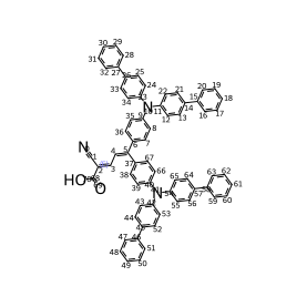 N#C/C(=C\C=C(c1ccc(N(c2ccc(-c3ccccc3)cc2)c2ccc(-c3ccccc3)cc2)cc1)c1ccc(N(c2ccc(-c3ccccc3)cc2)c2ccc(-c3ccccc3)cc2)cc1)C(=O)O